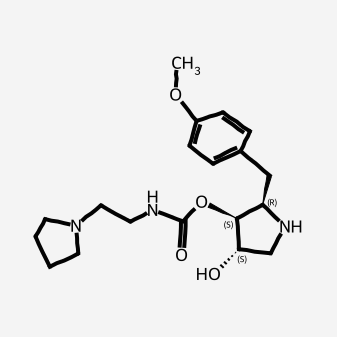 COc1ccc(C[C@H]2NC[C@H](O)[C@H]2OC(=O)NCCN2CCCC2)cc1